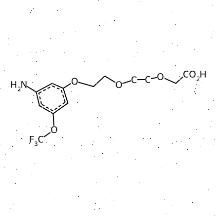 Nc1cc(OCCOCCOCC(=O)O)cc(OC(F)(F)F)c1